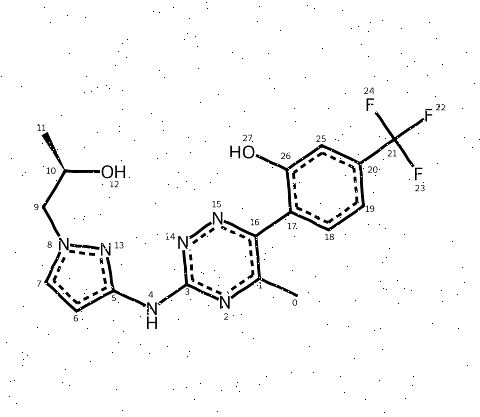 Cc1nc(Nc2ccn(C[C@@H](C)O)n2)nnc1-c1ccc(C(F)(F)F)cc1O